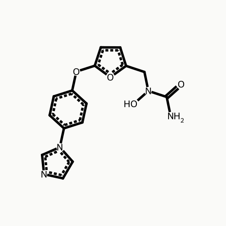 NC(=O)N(O)Cc1ccc(Oc2ccc(-n3ccnc3)cc2)o1